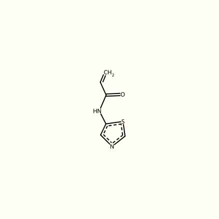 C=CC(=O)Nc1cncs1